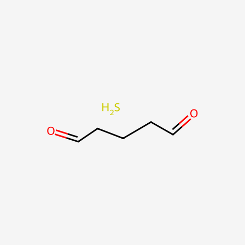 O=CCCCC=O.S